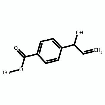 C=CC(O)c1ccc(C(=O)OC(C)(C)C)cc1